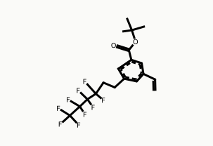 C=Cc1cc(CCC(F)(F)C(F)(F)C(F)(F)C(F)(F)F)cc(C(=O)OC(C)(C)C)c1